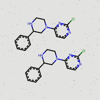 Clc1nccc(N2CCNC(c3ccccc3)C2)n1.Clc1nccc(N2CCNC(c3ccccc3)C2)n1